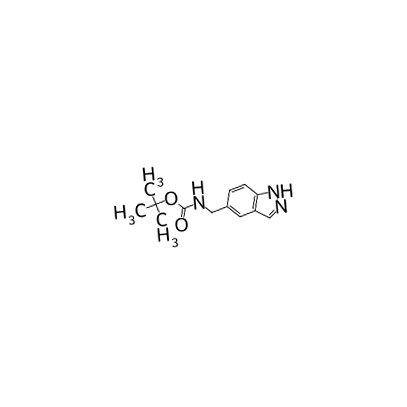 CC(C)(C)OC(=O)NCc1ccc2[nH]ncc2c1